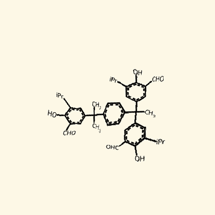 CC(C)c1cc(C(C)(C)c2ccc(C(C)(c3cc(C=O)c(O)c(C(C)C)c3)c3cc(C=O)c(O)c(C(C)C)c3)cc2)cc(C=O)c1O